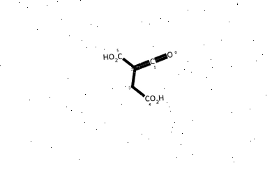 O=C=C(CC(=O)O)C(=O)O